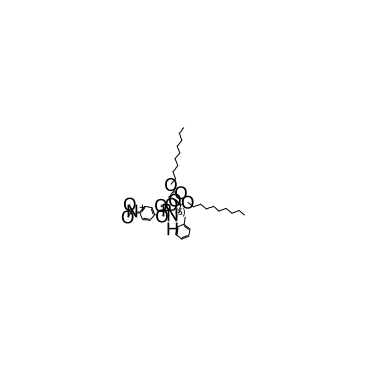 CCCCCCCCCOC(=O)COP(=O)(N[C@@H](Cc1ccccc1)C(=O)OCCCCCCCCC)Oc1ccc([N+](=O)[O-])cc1